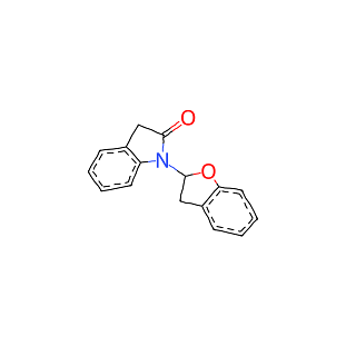 O=C1Cc2ccccc2N1C1Cc2ccccc2O1